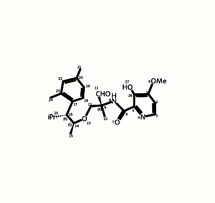 COc1ccnc(C(=O)N[C@@](C)(C=O)CO[C@@H](C)[C@@H](c2ccc(C)cc2C)C(C)C)c1O